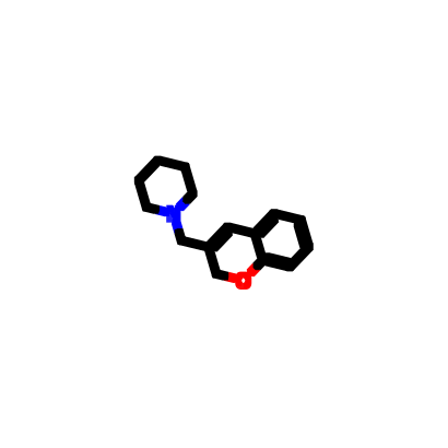 C1=C(CN2CCCCC2)COc2ccccc21